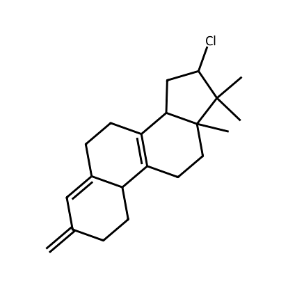 C=C1C=C2CCC3=C(CCC4(C)C3CC(Cl)C4(C)C)C2CC1